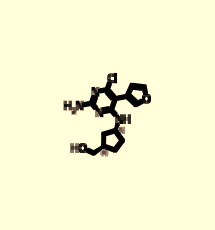 Nc1nc(Cl)c(-c2ccoc2)c(N[C@H]2CC[C@@H](CO)C2)n1